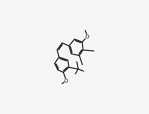 COc1ccc(/C=C\c2cc(C)c(C)c(OC)c2)cc1C(C)(C)C